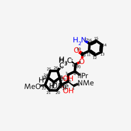 CNC[C@H](CC(C(C)C)[C@@H](C)OC(=O)c1ccccc1N)[C@@]1(O)CC[C@@H](OC)[C@H]2CC(C)[C@]1(O)[C@H]2OC